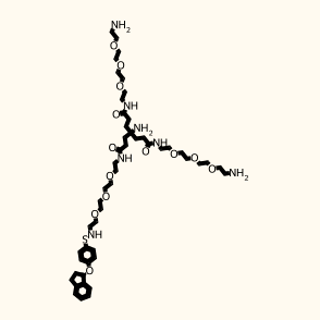 NCCOCCOCCOCCNC(=O)CCC(N)(CCC(=O)NCCOCCOCCOCCN)CCC(=O)NCCOCCOCCOCCNSc1ccc(O[C@@H]2CCc3ccccc32)cc1